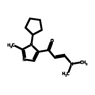 Cc1ncc(C(=O)C=CN(C)C)n1C1CCCC1